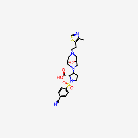 Cc1ncsc1CCN1CC2CN(C3CCN(S(=O)(=O)c4ccc(C#N)cc4)[C@@H]3C(=O)O)CC(C1)O2